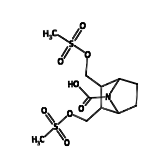 CS(=O)(=O)OCC1C(COS(C)(=O)=O)C2CCC1N2C(=O)O